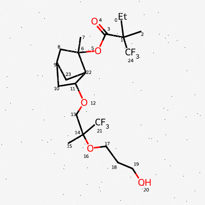 CCC(C)(C(=O)OC1(C)CC2CC(OCC(C)(OCCCO)C(F)(F)F)C1C2)C(F)(F)F